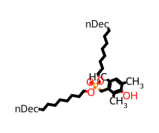 CCCCCCCCCCCCCCCCCCOP(=O)(Cc1c(C)cc(C)c(O)c1C)OCCCCCCCCCCCCCCCCCC